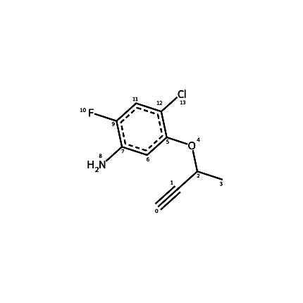 C#CC(C)Oc1cc(N)c(F)cc1Cl